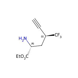 C#C[C@H](C[C@@H](N)C(=O)OCC)C(F)(F)F